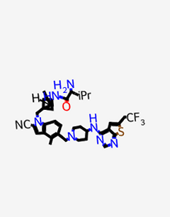 Cc1c(CN2CCC(Nc3ncnc4sc(CC(F)(F)F)cc34)CC2)ccc2c1cc(C#N)n2CC12CC(NC(=O)C(N)C(C)C)(C1)[C@H]2C